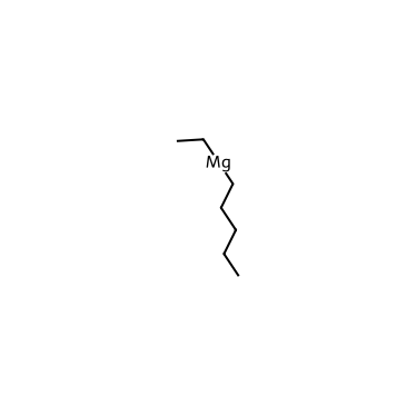 CCCC[CH2][Mg][CH2]C